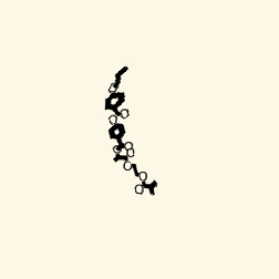 C=CCOc1ccc(C(=O)Oc2ccc(C(=O)OC(C)C(=O)OCCOC(=O)C(=C)C)cc2)cc1